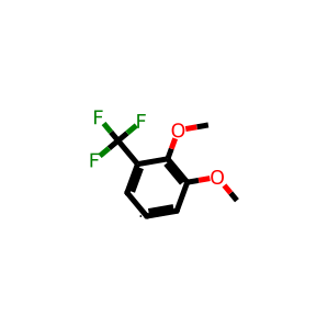 COc1c[c]cc(C(F)(F)F)c1OC